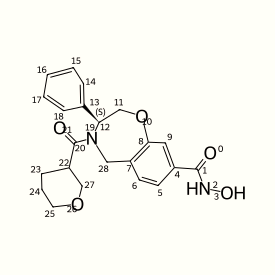 O=C(NO)c1ccc2c(c1)OC[C@H](c1ccccc1)N(C(=O)C1CCCOC1)C2